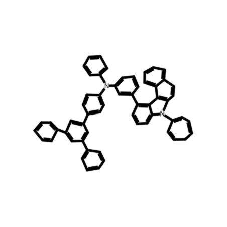 C1=CCC=CC(n2c3cccc(-c4cccc(N(c5ccccc5)c5ccc(-c6cc(-c7ccccc7)cc(-c7ccccc7)c6)cc5)c4)c3c3c4ccccc4ccc32)=C1